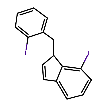 Ic1ccccc1CC1C=Cc2cccc(I)c21